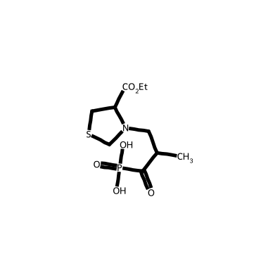 CCOC(=O)C1CSCN1CC(C)C(=O)P(=O)(O)O